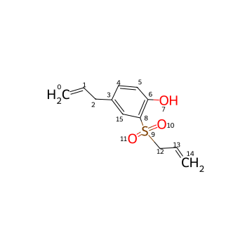 C=CCc1ccc(O)c(S(=O)(=O)CC=C)c1